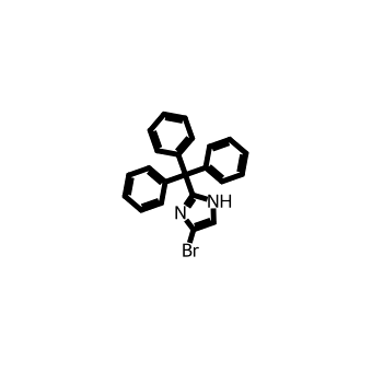 Brc1c[nH]c(C(c2ccccc2)(c2ccccc2)c2ccccc2)n1